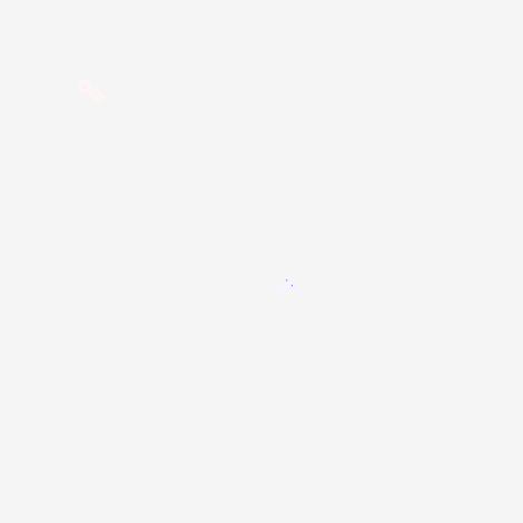 O=CCCCc1ccc(-c2ccc(-c3ccc(Br)cc3)cn2)cc1